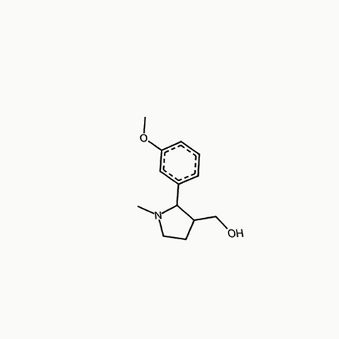 COc1cccc(C2C(CO)CCN2C)c1